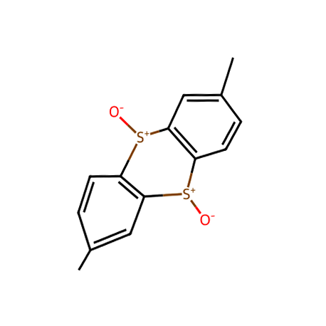 Cc1ccc2c(c1)[S+]([O-])c1ccc(C)cc1[S+]2[O-]